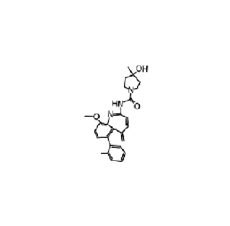 C=C1C=CC(NC(=O)N2CCC(C)(O)CC2)=Nc2c(OC)ccc(-c3ccccc3C)c21